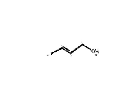 OCC=CI